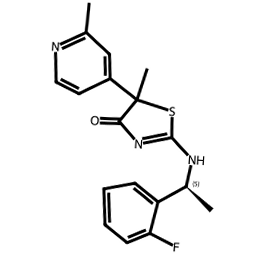 Cc1cc(C2(C)SC(N[C@@H](C)c3ccccc3F)=NC2=O)ccn1